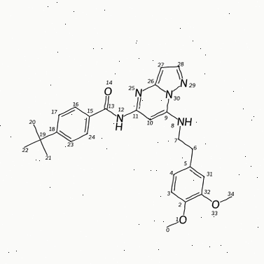 COc1ccc(CCNc2cc(NC(=O)c3ccc(C(C)(C)C)cc3)nc3ccnn23)cc1OC